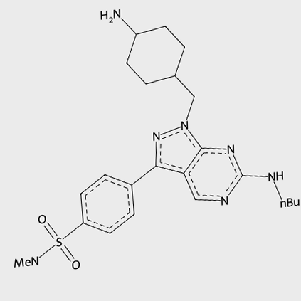 CCCCNc1ncc2c(-c3ccc(S(=O)(=O)NC)cc3)nn(CC3CCC(N)CC3)c2n1